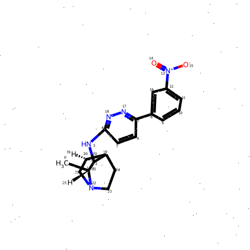 C[C@@H]1[C@@H](Nc2ccc(-c3cccc([N+](=O)[O-])c3)nn2)C2CCN1CC2